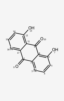 O=C1c2nccc(O)c2C(=O)c2c(O)ccnc21